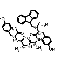 C[C@H](NC(=O)[C@H](C)NC(=O)[C@H](Cc1ccc(O)cc1)N(CC1c2ccccc2-c2ccccc21)C(=O)O)C(=O)N[C@@H](Cc1ccc(O)cc1)C(N)=O